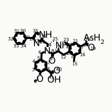 COc1ccc(CN(C(=O)[C@@H](N)Cc2c(C)cc(C(=O)[AsH2])cc2C)[C@@H](C)c2nc(-c3ccccc3)c[nH]2)cc1C(=O)O